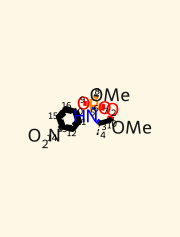 COC(=O)[C@H](C)NP(=O)(OC)Oc1ccc([N+](=O)[O-])cc1